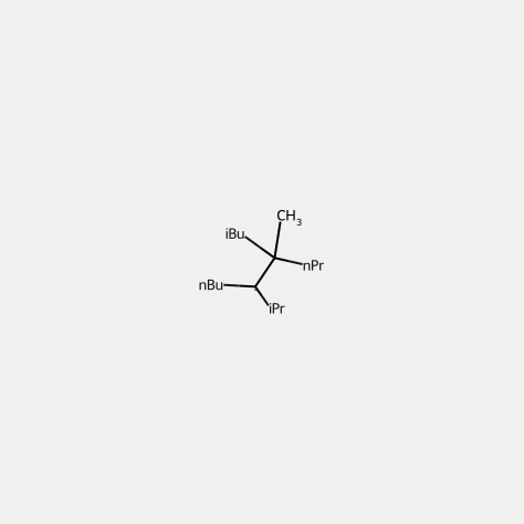 CCCC[C](C(C)C)C(C)(CCC)C(C)CC